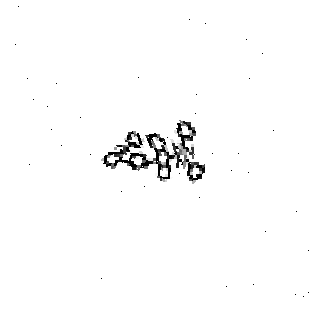 C[Si]1(c2ccccc2)c2ccccc2-c2ccc(-c3c4ccccc4c(-c4nc(-c5ccccc5)nc(-c5ccccc5)n4)c4ccccc34)cc21